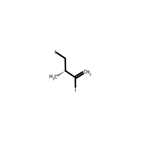 C=C(I)[C@H](C)CI